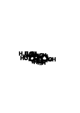 C[C@@H](O)[C@@]1(O)CC[C@H]2[C@@H]3CC[C@@H]4C[C@H](O)CC[C@]4(C)[C@H]3CC[C@@]21C